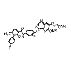 COCCOc1cc2ncnc(Oc3ccc(NC(=O)c4ccc(C)n(-c5ccc(F)cc5)c4=O)cc3F)c2nc1OC